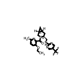 CCOc1ccc(C)nc1C(=O)N1C[C@@H]2C[C@@H]2C[C@H]1CNc1ncc(C(F)(F)F)cn1